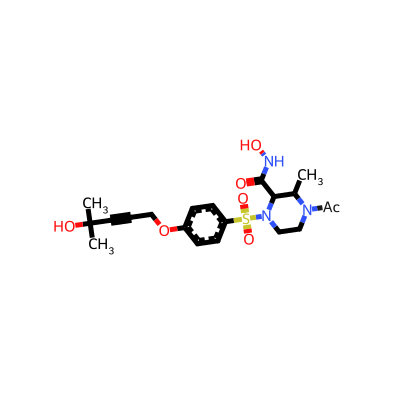 CC(=O)N1CCN(S(=O)(=O)c2ccc(OCC#CC(C)(C)O)cc2)C(C(=O)NO)C1C